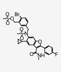 CNC(=O)c1c(-c2ccc(F)cc2)oc2cc(N(Cc3ccc(Br)c(COS(C)(=O)=O)c3)S(C)(=O)=O)c(C3CC3)cc12